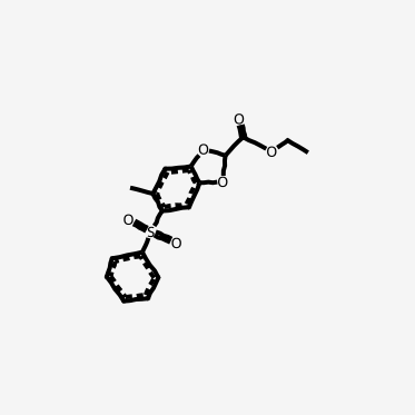 CCOC(=O)C1Oc2cc(C)c(S(=O)(=O)c3ccccc3)cc2O1